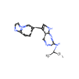 CC(Nc1ncc2c(-c3ccc4nccn4c3)c[nH]c2n1)C(F)(F)F